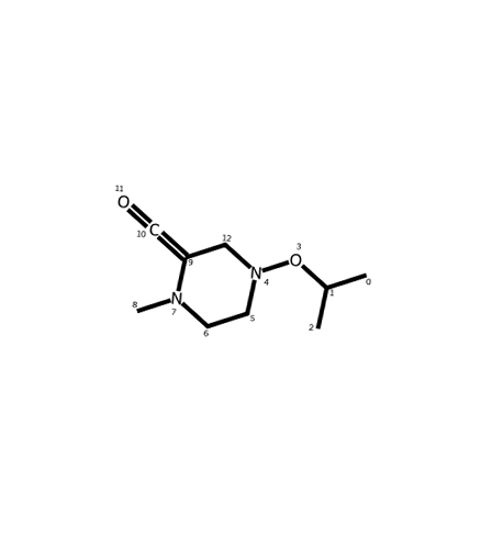 CC(C)ON1CCN(C)C(=C=O)C1